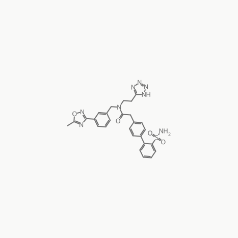 Cc1nc(-c2cccc(CN(CCc3nnn[nH]3)C(=O)Cc3ccc(-c4ccccc4S(N)(=O)=O)cc3)c2)no1